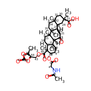 CC(=O)NCC(=O)O[C@H]1CC[C@@]2(C)C(CC[C@]3(C)[C@@H]2C(=O)C=C2[C@@H]4C[C@@](C)(C(=O)O)CC[C@]4(C)CC[C@]23C)[C@]1(C)C(=O)OCc1oc(=O)oc1C